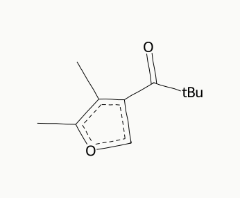 Cc1occ(C(=O)C(C)(C)C)c1C